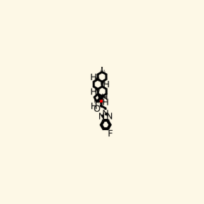 C[C@H]1CC[C@@H]2C3CC[C@]4(C)[C@@H](C(=O)Cn5nc6ccc(F)cc6n5)[C@@H]5CC4([C@@H]3CC[C@@H]2C1)[C@@H]5C